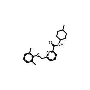 Cc1cccc(C)c1SCc1cccc(C(=O)NC2CCC(C)CC2)n1